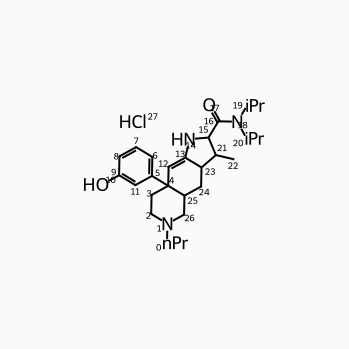 CCCN1CCC2(c3cccc(O)c3)C=C3NC(C(=O)N(C(C)C)C(C)C)C(C)C3CC2C1.Cl